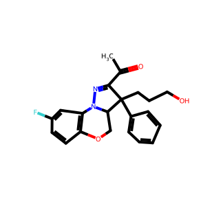 CC(=O)C1=NN2c3cc(F)ccc3OCC2C1(CCCO)c1ccccc1